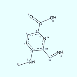 CNc1ccc(C(=O)O)nc1C=N